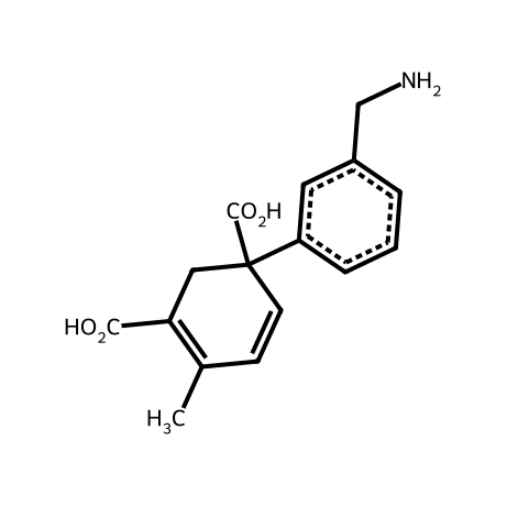 CC1=C(C(=O)O)CC(C(=O)O)(c2cccc(CN)c2)C=C1